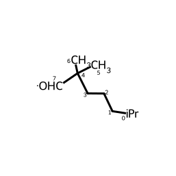 CC(C)CCCC(C)(C)[C]=O